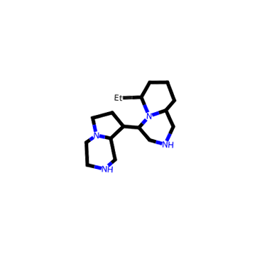 CCC1CCCC2CNCC(C3CCN4CCNCC34)N12